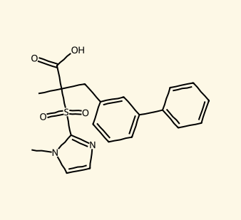 Cn1ccnc1S(=O)(=O)C(C)(Cc1cccc(-c2ccccc2)c1)C(=O)O